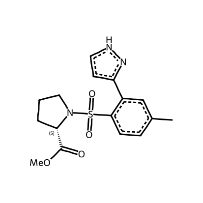 COC(=O)[C@@H]1CCCN1S(=O)(=O)c1ccc(C)cc1-c1cc[nH]n1